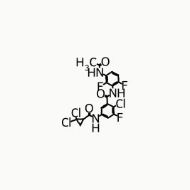 CC(=O)Nc1ccc(F)c(NC(=O)c2cc(NC(=O)C3CC3(Cl)Cl)cc(F)c2Cl)c1F